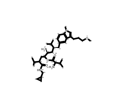 COCCCc1cn(C)c2ccc(C[C@@H](C[C@H](N)C(CC(C(=O)NCC3CC3)C(C)C)OC(=O)C(N)C(C)C)C(C)C)cc12